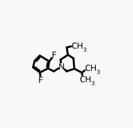 CCC1CC(C(C)C)CN(Cc2c(F)cccc2F)C1